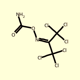 NC(=O)ON=C(C(Cl)(Cl)Cl)C(Cl)(Cl)Cl